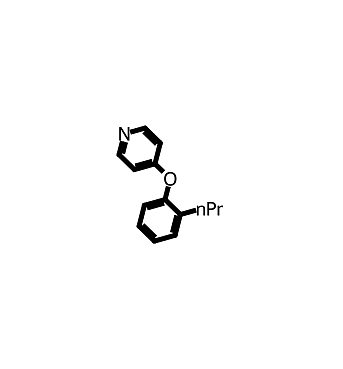 [CH2]CCc1ccccc1Oc1ccncc1